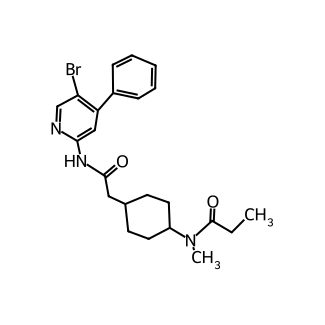 CCC(=O)N(C)C1CCC(CC(=O)Nc2cc(-c3ccccc3)c(Br)cn2)CC1